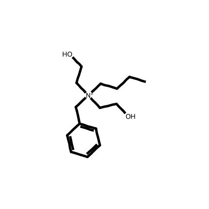 CCCC[N+](CCO)(CCO)Cc1ccccc1